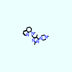 Cc1nc(CN(C)[C@H]2CCCc3cccnc32)c(C)c(N2CCN(C)CC2)n1